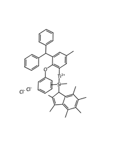 CC1=C(C)C([Si](C)(C)[Ti+2][c]2cc(C)cc(C(c3ccccc3)c3ccccc3)c2Oc2ccccc2)c2c(C)c(C)c(C)c(C)c21.[Cl-].[Cl-]